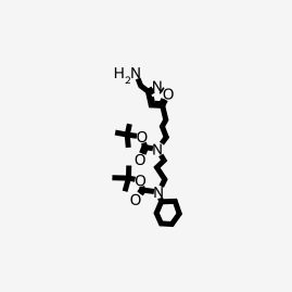 CC(C)(C)OC(=O)N(CCCc1cc(CN)no1)CCCN(C(=O)OC(C)(C)C)C1CCCCC1